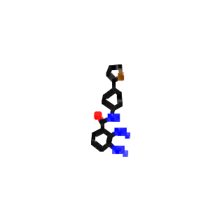 Nc1cccc(C(=O)Nc2ccc(-c3cccs3)cc2)c1N